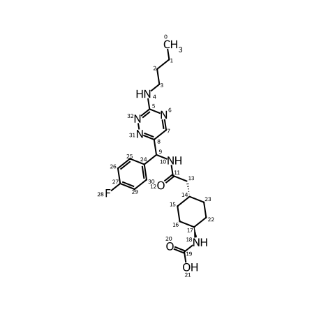 CCCCNc1ncc(C(NC(=O)C[C@H]2CC[C@H](NC(=O)O)CC2)c2ccc(F)cc2)nn1